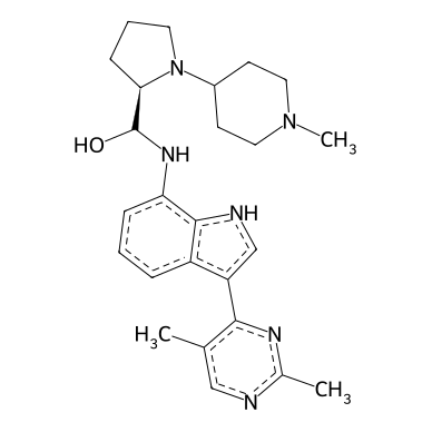 Cc1ncc(C)c(-c2c[nH]c3c(NC(O)[C@H]4CCCN4C4CCN(C)CC4)cccc23)n1